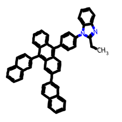 CCc1nc2ccccc2n1-c1ccc(-c2c3ccccc3c(-c3ccc4ccccc4c3)c3cc(-c4ccc5ccccc5c4)ccc23)cc1